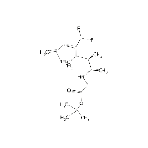 C=C(N)/C=C(/C(F)F)C(C)[C@@H](C)[C@@H](C)NCC(=O)OC(C)(C)C